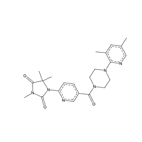 Cc1cnc(N2CCN(C(=O)c3ccc(N4C(=O)N(C)C(=O)C4(C)C)nc3)CC2)c(C)c1